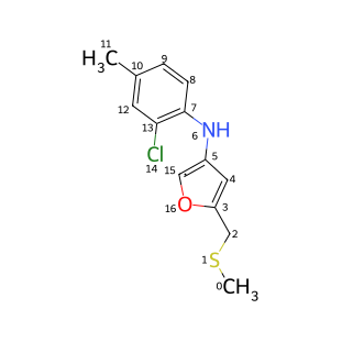 CSCc1cc(Nc2ccc(C)cc2Cl)[c]o1